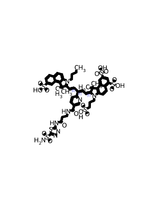 CCCC[N+]1=C(/C=C/C(=C/C=C2/N(CCCS(=O)(=O)O)c3ccc4c(S(=O)(=O)O)cc(S(=O)(=O)O)cc4c3C2(C)C)c2ccc(C(=O)NCCC(=O)Nc3nnc(S(N)(=O)=O)s3)cn2)C(C)(C)c2c1ccc1ccc(S(=O)(=O)O)cc21